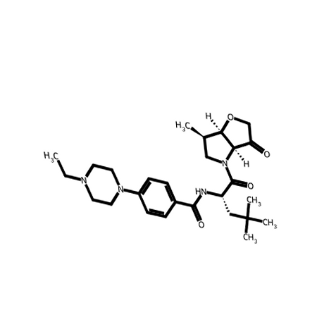 CCN1CCN(c2ccc(C(=O)N[C@@H](CC(C)(C)C)C(=O)N3C[C@@H](C)[C@H]4OCC(=O)[C@H]43)cc2)CC1